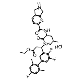 CCOC(=O)C[C@H](NC(=O)[C@H](CC(C)C)NC(=O)c1ccc2c(n1)CNC2)c1cc(-c2c(C)cc(F)cc2C)cc(F)c1F.Cl